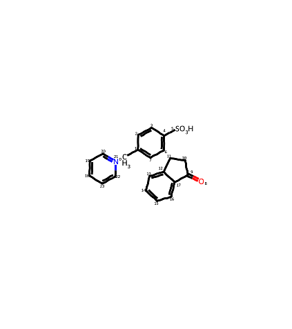 Cc1ccc(S(=O)(=O)O)cc1.O=C1CCc2ccccc21.c1ccncc1